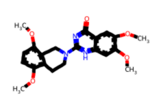 COc1cc2[nH]c(N3CCc4c(OC)ccc(OC)c4C3)nc(=O)c2cc1OC